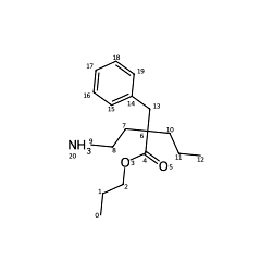 CCCOC(=O)C(CCC)(CCC)Cc1ccccc1.N